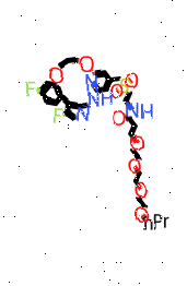 CCCOCCOCCOCCOCCC(=O)NCCS(=O)(=O)Cc1cc2nc(c1)OCCCOc1cc(F)ccc1-c1cc(ncc1F)N2